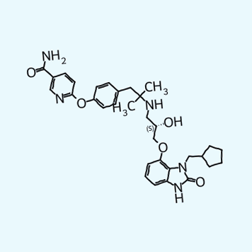 CC(C)(Cc1ccc(Oc2ccc(C(N)=O)cn2)cc1)NC[C@H](O)COc1cccc2[nH]c(=O)n(CC3CCCC3)c12